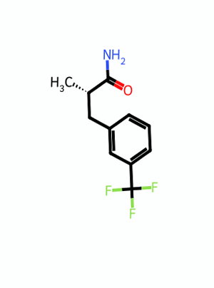 C[C@@H](Cc1cccc(C(F)(F)F)c1)C(N)=O